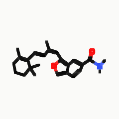 CC(C=CC1=C(C)CCCC1(C)C)=Cc1occ2ccc(C(=O)N(C)C)cc12